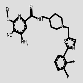 CCOc1nc(C(=O)NCC2CCN(Cc3cnc(-c4cccc(F)c4F)s3)CC2)cc(N)c1C#N